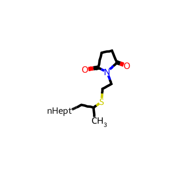 CCCCCCCCC(C)SCCN1C(=O)CCC1=O